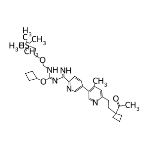 CC(=O)C1(CCc2cc(C)c(-c3ccc(C(=N)/N=C(\NCOCC[SH](C)(C)(C)C)OC4CCC4)nc3)cn2)CCC1